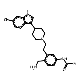 CC(C)C(=O)Nc1ccc(CN)c(CCN2CCC(c3c[nH]c4cc(Cl)ccc34)CC2)c1